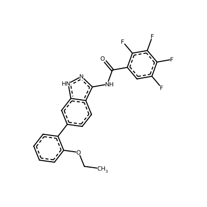 CCOc1ccccc1-c1ccc2c(NC(=O)c3cc(F)c(F)c(F)c3F)n[nH]c2c1